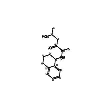 CC(O)CC(=O)N(C)NC1CCCc2ccccc21